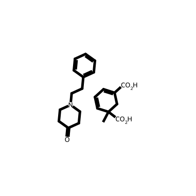 CC1(C(=O)O)C=CC=C(C(=O)O)C1.O=C1CCN(CCc2ccccc2)CC1